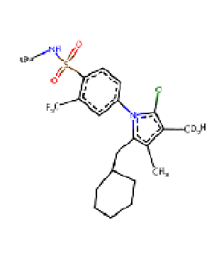 Cc1c(C(=O)O)c(Cl)n(-c2ccc(S(=O)(=O)NC(C)(C)C)c(C(F)(F)F)c2)c1CC1CCCCC1